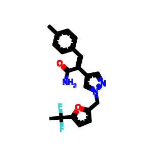 Cc1ccc(C=C(C(N)=O)c2cnn(Cc3ccc(C(C)(F)F)o3)c2)cc1